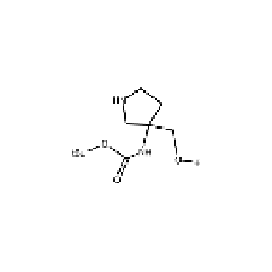 CC(C)(C)OC(=O)NC1(COF)CCNC1